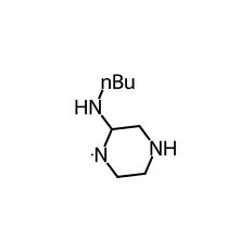 CCCCNC1CNCC[N]1